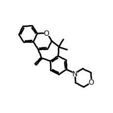 C=C1C2=CC(Oc3ccccc32)C(C)(C)c2cc(N3CCOCC3)ccc21